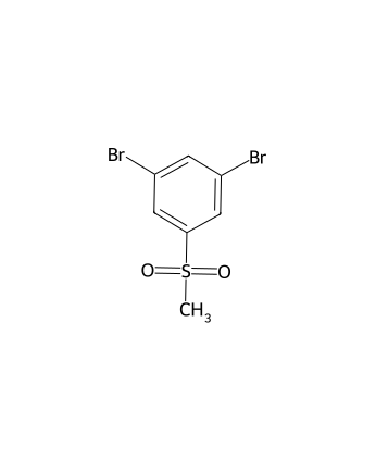 CS(=O)(=O)c1cc(Br)cc(Br)c1